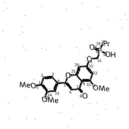 COc1ccc(-c2cc(=O)c3c(OC)cc(OCP(=O)(O)C(C)C)cc3o2)cc1OC